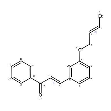 CC/C=C/COc1cccc(/C=C/C(=O)c2ccccc2)c1